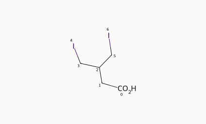 O=C(O)CC(CI)CI